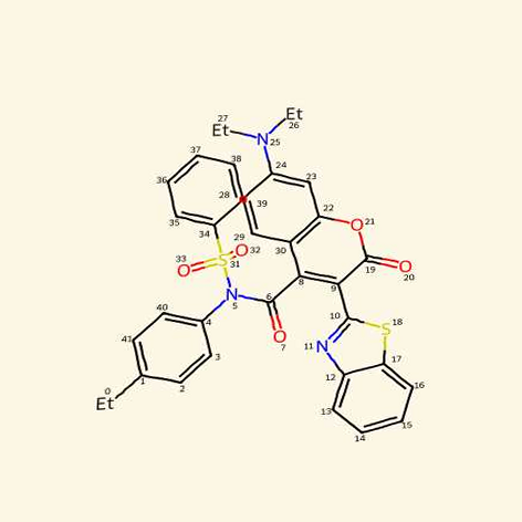 CCc1ccc(N(C(=O)c2c(-c3nc4ccccc4s3)c(=O)oc3cc(N(CC)CC)ccc23)S(=O)(=O)c2ccccc2)cc1